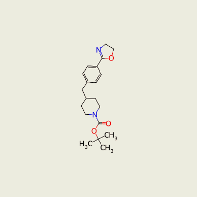 CC(C)(C)OC(=O)N1CCC(Cc2ccc(C3=NCCO3)cc2)CC1